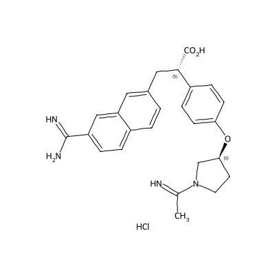 CC(=N)N1CC[C@H](Oc2ccc([C@H](Cc3ccc4ccc(C(=N)N)cc4c3)C(=O)O)cc2)C1.Cl